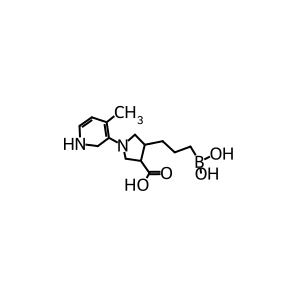 CC1=C(N2CC(CCCB(O)O)C(C(=O)O)C2)CNC=C1